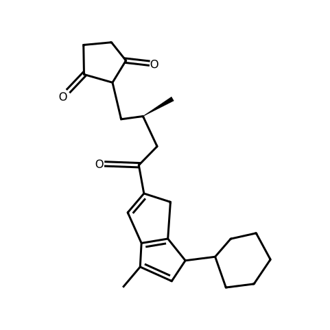 CC1=CC(C2CCCCC2)C2=C1C=C(C(=O)C[C@H](C)CC1C(=O)CCC1=O)C2